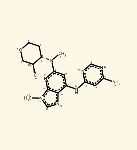 C[C@H]1COCC[C@@H]1N(C)c1cc(Nc2cc(N)ncn2)c2ncn(C)c2n1